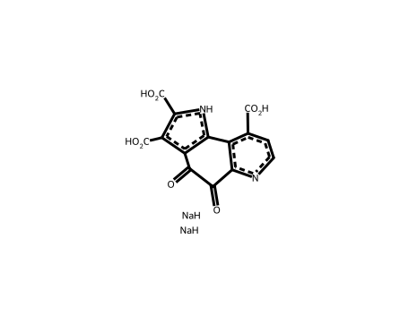 O=C(O)c1ccnc2c1-c1[nH]c(C(=O)O)c(C(=O)O)c1C(=O)C2=O.[NaH].[NaH]